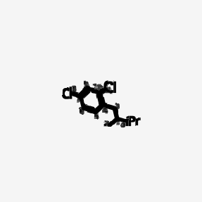 CC(C)C(C)Cc1ccc(Cl)cc1Cl